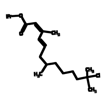 CC(C=CCC(C)CCCCC(C)(C)Cl)=CC(=O)OC(C)C